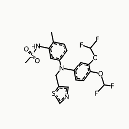 Cc1ccc(N(Cc2cncs2)c2ccc(OC(F)F)c(OC(F)F)c2)cc1NS(C)(=O)=O